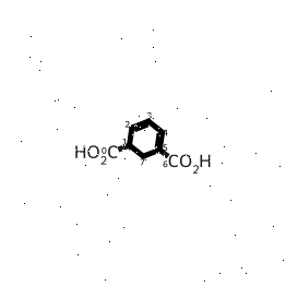 O=C(O)[C]1C=CC=C(C(=O)O)C1